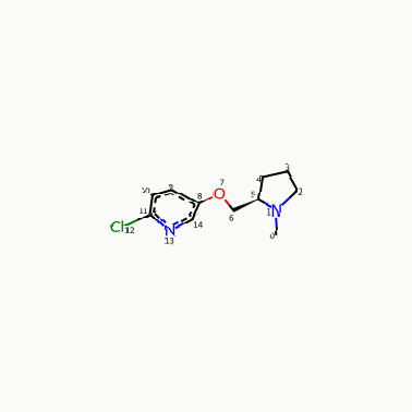 CN1CCC[C@@H]1COc1ccc(Cl)nc1